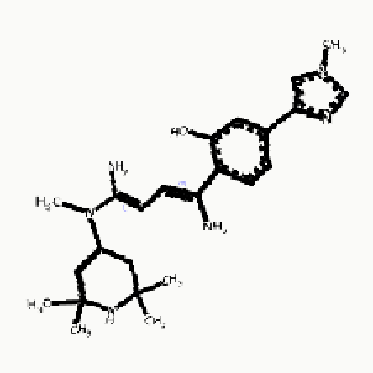 CN(/C(N)=C/C=C(\N)c1ccc(-c2cn(C)cn2)cc1O)C1CC(C)(C)NC(C)(C)C1